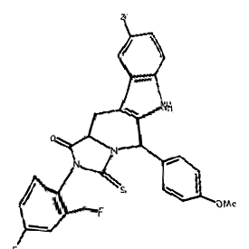 COc1ccc(C2c3[nH]c4ccc(Br)cc4c3CC3C(=O)N(c4ccc(F)cc4F)C(=S)N32)cc1